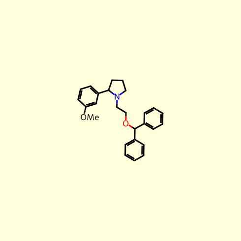 COc1cccc(C2CCCN2CCOC(c2ccccc2)c2ccccc2)c1